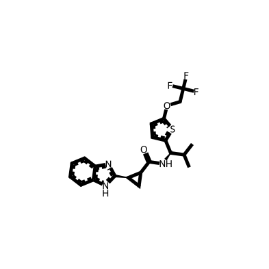 CC(C)[C@@H](NC(=O)C1C[C@H]1c1nc2ccccc2[nH]1)c1ccc(OCC(F)(F)F)s1